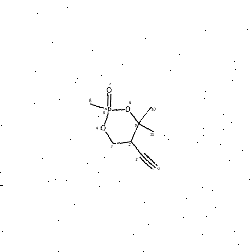 C#CC1COP(C)(=O)OC1(C)C